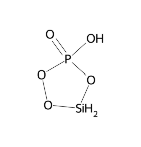 O=P1(O)OO[SiH2]O1